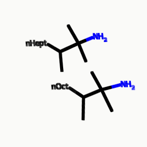 CCCCCCCC(C)C(C)(C)N.CCCCCCCCC(C)C(C)(C)N